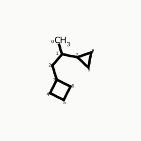 CC(CC1CCC1)C1CC1